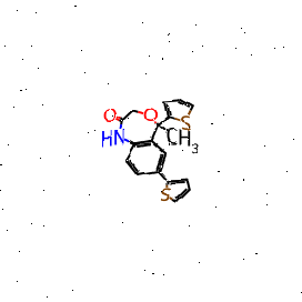 CC1(c2cccs2)OCC(=O)Nc2ccc(-c3cccs3)cc21